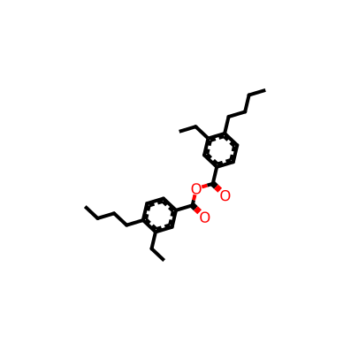 CCCCc1ccc(C(=O)OC(=O)c2ccc(CCCC)c(CC)c2)cc1CC